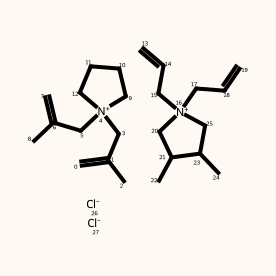 C=C(C)C[N+]1(CC(=C)C)CCCC1.C=CC[N+]1(CC=C)CC(C)C(C)C1.[Cl-].[Cl-]